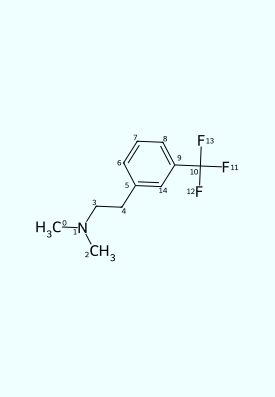 CN(C)CCc1cccc(C(F)(F)F)c1